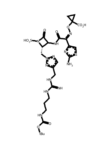 CC(C)(C)OC(=O)NCCCNC(=N)NCc1cnn(C[C@H]2C(NC(=O)/C(=N\OC3(C(=O)O)CC3)c3csc(N)n3)C(=O)N2S(=O)(=O)O)n1